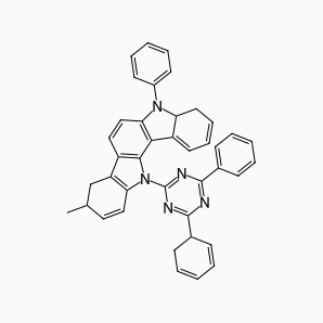 CC1C=Cc2c(c3ccc4c(c3n2-c2nc(-c3ccccc3)nc(C3C=CC=CC3)n2)C2=CC=CCC2N4c2ccccc2)C1